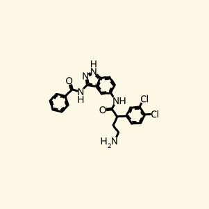 NCCC(C(=O)Nc1ccc2[nH]nc(NC(=O)c3ccccc3)c2c1)c1ccc(Cl)c(Cl)c1